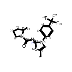 Cc1cn(-c2ccc(C(F)(F)F)cc2)/c(=N/C(=O)N2CCCC2C)s1